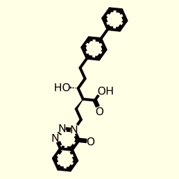 O=C(O)[C@@H](CCn1nnc2ccccc2c1=O)[C@H](O)CCc1ccc(-c2ccccc2)cc1